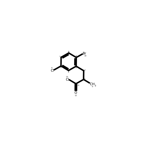 CC(Cc1cc(Cl)ccc1Br)C(=O)Cl